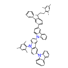 Cc1cc(C)c(CCC2c3ccccc3-c3cc(-c4ccc5c(c4)c4ccccc4n5-c4ccc5c(c4)c4cc(-n6c7ccccc7c7ccccc76)ccc4n5-c4c(C)cc(C)cc4C)ccc32)c(C)c1